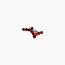 CC1(C)c2cc(N(c3ccccc3)c3ccc(-c4ccc(-c5ccccc5)cc4)cc3)ccc2-c2ccc(N(c3ccccc3)c3ccc(-c4ccc(-c5ccccc5)cc4)cc3)cc21